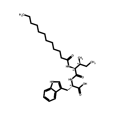 CCCCCCCCCCCC(=O)N[C@H](C(=O)N[C@@H](Cc1c[nH]c2ccccc12)C(=O)O)[C@@H](C)CC